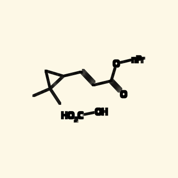 CCCOC(=O)C=CC1CC1(C)C.O=C(O)O